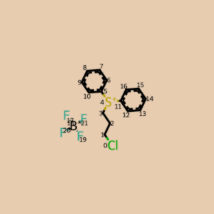 ClCCC[S+](c1ccccc1)c1ccccc1.F[B-](F)(F)F